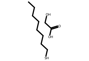 CCCCCCCCS.O=C(O)CO